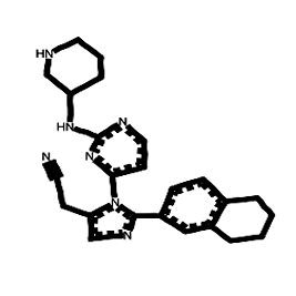 N#CCc1cnc(-c2ccc3c(c2)CCCC3)n1-c1ccnc(NC2CCCNC2)n1